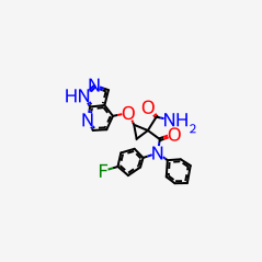 NC(=O)C1(C(=O)N(c2ccccc2)c2ccc(F)cc2)CC1Oc1ccnc2[nH]ncc12